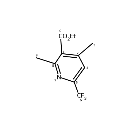 CCOC(=O)c1c(C)cc(C(F)(F)F)nc1C